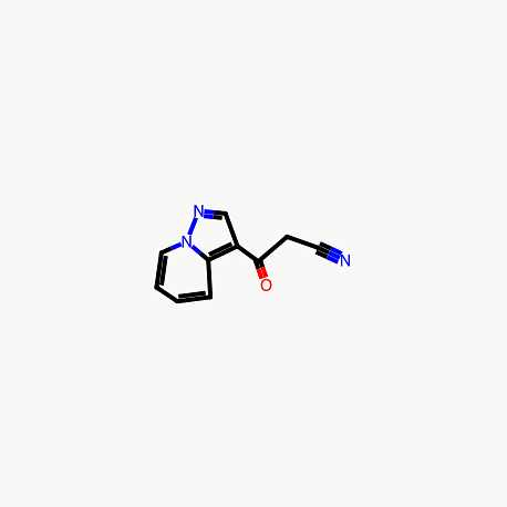 N#CCC(=O)c1cnn2ccccc12